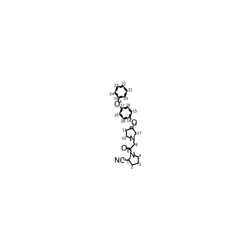 N#CC1CCCN1C(=O)CN1CC[C@H](Oc2ccc(Oc3ccccc3)cc2)C1